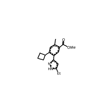 CCc1cc(-c2cc(C(=O)OC)c(C)cc2C2CCC2)n[nH]1